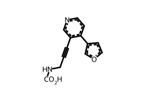 O=C(O)NCC#Cc1cnccc1-c1ccoc1